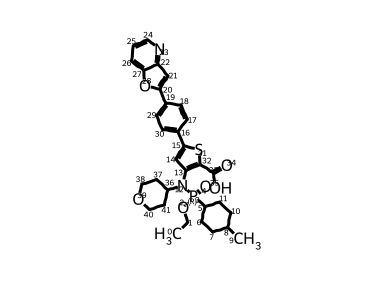 CCO[P@](=O)(C1CCC(C)CC1)N(c1cc(-c2ccc(-c3cc4ncccc4o3)cc2)sc1C(=O)O)C1CCOCC1